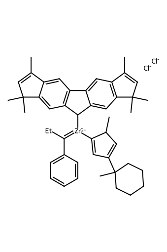 CC/[C](c1ccccc1)=[Zr+2](/[C]1=CC(C2(C)CCCCC2)=CC1C)[CH]1c2cc3c(cc2-c2cc4c(cc21)C(C)(C)C=C4C)C(C)=CC3(C)C.[Cl-].[Cl-]